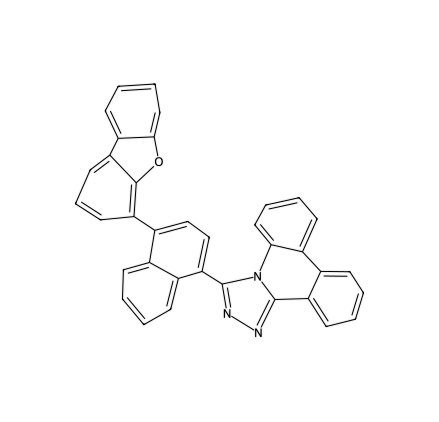 c1ccc2c(c1)oc1c(-c3ccc(-c4nnc5c6ccccc6c6ccccc6n45)c4ccccc34)cccc12